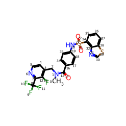 CN(Cc1ccnc(C(F)(F)F)c1F)C(=O)c1ccc(NS(=O)(=O)c2cccc3scnc23)cc1